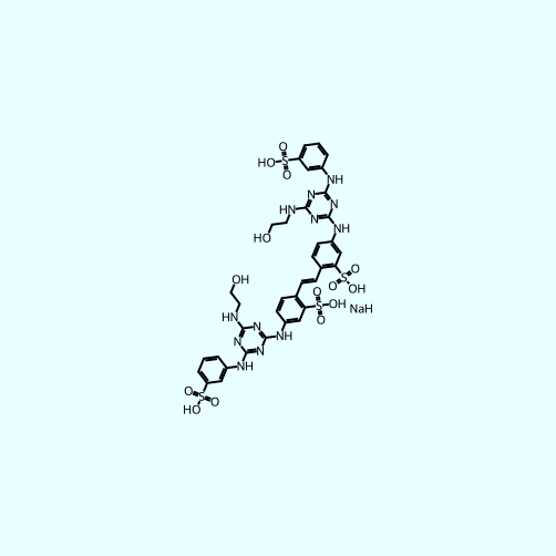 O=S(=O)(O)c1cccc(Nc2nc(NCCO)nc(Nc3ccc(C=Cc4ccc(Nc5nc(NCCO)nc(Nc6cccc(S(=O)(=O)O)c6)n5)cc4S(=O)(=O)O)c(S(=O)(=O)O)c3)n2)c1.[NaH]